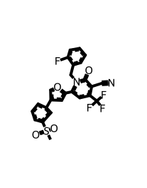 CS(=O)(=O)c1cccc(-c2coc(-c3cc(C(F)(F)F)c(C#N)c(=O)n3Cc3ccccc3F)c2)c1